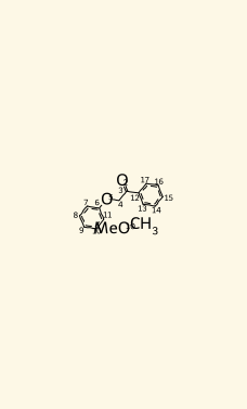 COC.O=C(COc1ccccc1)c1ccccc1